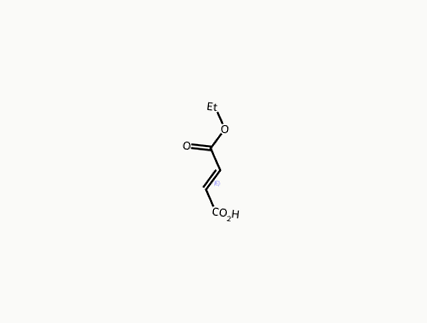 CCOC(=O)/C=C/C(=O)O